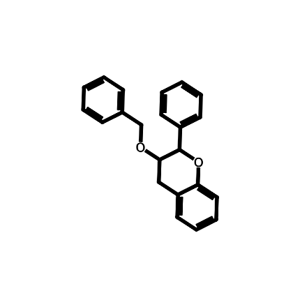 c1ccc(COC2Cc3ccccc3OC2c2ccccc2)cc1